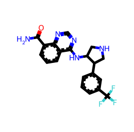 NC(=O)c1cccc2c(NC3CNCC3c3cccc(C(F)(F)F)c3)ncnc12